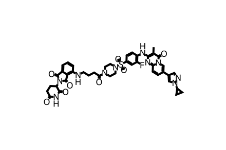 Cc1c(Nc2ccc(S(=O)(=O)N3CCN(C(=O)CCCNc4cccc5c4C(=O)N(C4CCC(=O)NC4=O)C5=O)CC3)cc2F)nc2ccc(-c3cnn(C4CC4)c3)cn2c1=O